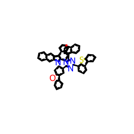 c1ccc2cc3c(cc2c1)c1c2ccccc2ccc1n3-c1cc2oc3ccccc3c2cc1-c1nc(-c2cccc3ccccc23)nc(-c2cccc3c2sc2ccccc23)n1